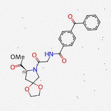 COC(=O)[C@@H]1CC2(CN1C(=O)CNC(=O)c1ccc(C(=O)c3ccccc3)cc1)OCCO2